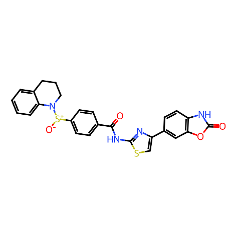 O=C(Nc1nc(-c2ccc3[nH]c(=O)oc3c2)cs1)c1ccc([S+]([O-])N2CCCc3ccccc32)cc1